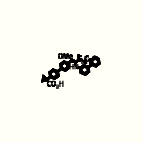 CO/C(=C(/Nc1cccc(-c2ccccc2C(F)(F)F)c1)C(C)=N)c1ccc(-c2ccc(C3(C(=O)O)CC3)cc2)cc1